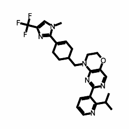 CC(C)c1ncccc1-c1ncc2c(n1)N(CC1CC=C(c3nc(C(F)(F)F)cn3C)CC1)CCO2